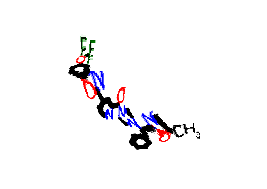 Cc1cnc(C(c2ccccc2)N2CCN(C(=O)c3cc(-c4nc5cc(OC(F)(F)F)ccc5o4)ccn3)CC2)o1